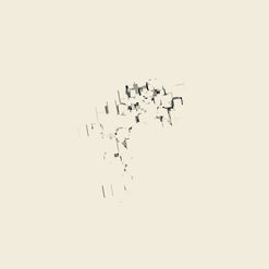 C=CCOC(=O)N1CC(C(=O)C[C@H]2NC(=O)[C@@H]2[C@@](C)(O[SiH](C)C)C(C)(C)C)C[C@H]1CO